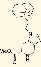 COC(=O)C1Cc2c(ncn2CCC23CC4CC(CC(C4)C2)C3)CN1